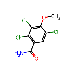 COc1c(Cl)cc(C(N)=O)c(Cl)c1Cl